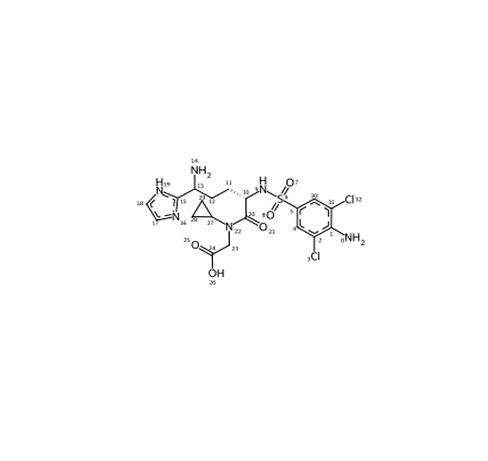 Nc1c(Cl)cc(S(=O)(=O)N[C@@H](CCC(N)c2ncc[nH]2)C(=O)N(CC(=O)O)C2CC2)cc1Cl